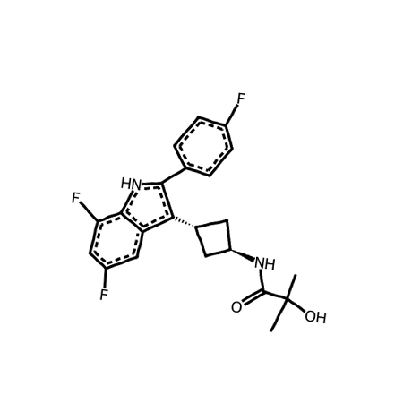 CC(C)(O)C(=O)N[C@H]1C[C@H](c2c(-c3ccc(F)cc3)[nH]c3c(F)cc(F)cc32)C1